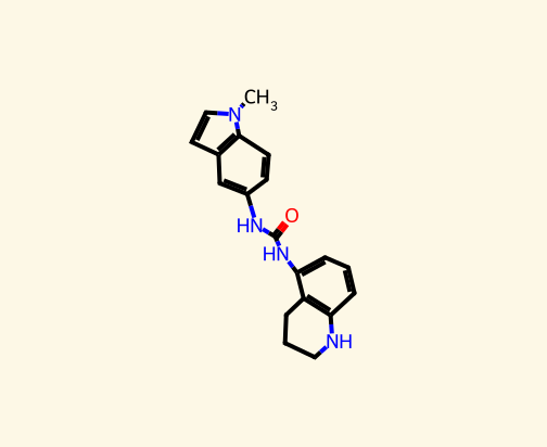 Cn1ccc2cc(NC(=O)Nc3cccc4c3CCCN4)ccc21